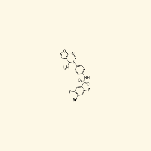 NC1c2ccoc2N=CN1c1ccc(NS(=O)(=O)c2cc(F)c(Br)cc2F)cc1